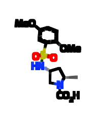 COc1ccc(OC)c(S(=O)(=O)N[C@@H]2C[C@H](C)N(C(=O)O)C2)c1